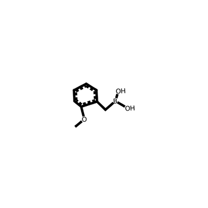 COc1ccccc1CB(O)O